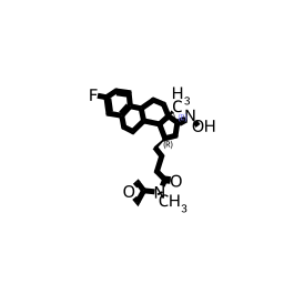 CN(C(=O)CCC[C@@H]1C/C(=N\O)[C@@]2(C)CCC3c4ccc(F)cc4CCC3C12)C1COC1